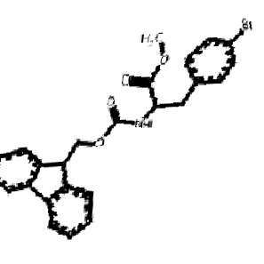 COC(=O)C(Cc1ccc(Br)cc1)NC(=O)OCC1c2ccccc2-c2ccccc21